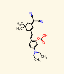 CCN(CC)c1ccc(C=CC2=CC(=C(C#N)C#N)CC(C)(C)C2)c(OC(=O)O)c1